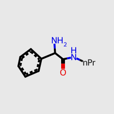 CCCNC(=O)C(N)c1ccccc1